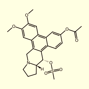 COc1cc2c3c(c4ccc(OC(C)=O)cc4c2cc1OC)[C@H](OS(C)(=O)=O)[C@@H]1CCCN1C3